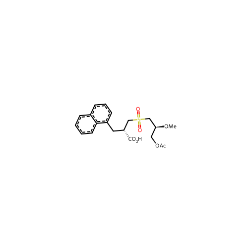 CO[C@@H](COC(C)=O)CS(=O)(=O)C[C@@H](Cc1cccc2ccccc12)C(=O)O